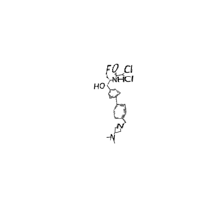 CN(C)C1CN(Cc2ccc(-c3ccc([C@H](O)[C@@H](CF)NC(=O)C(Cl)Cl)cc3)cc2)C1